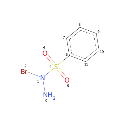 NN(Br)S(=O)(=O)c1ccccc1